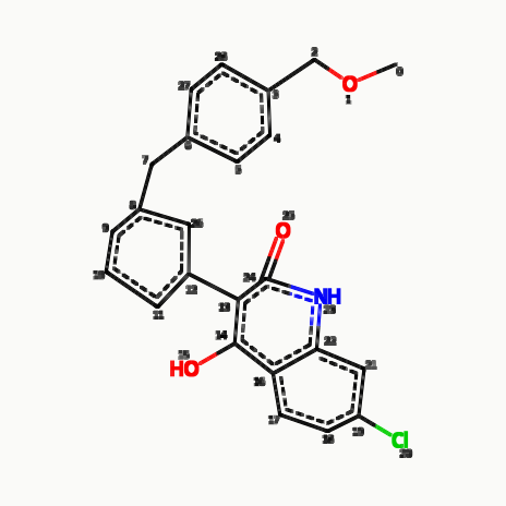 COCc1ccc(Cc2cccc(-c3c(O)c4ccc(Cl)cc4[nH]c3=O)c2)cc1